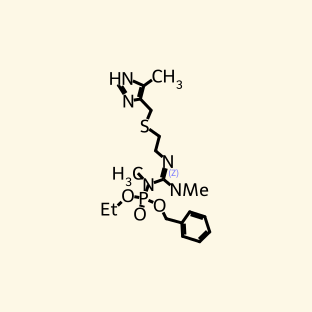 CCOP(=O)(OCc1ccccc1)N(C)/C(=N\CCSCc1nc[nH]c1C)NC